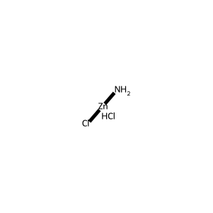 Cl.[NH2][Zn][Cl]